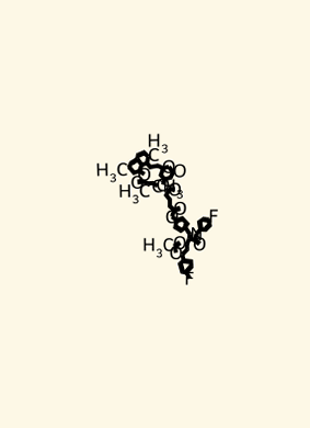 CCC(C)C(=O)OC1CC(C)C=C2C=CC(C)C(CCC3CC(OC(=O)CCCC(=O)Oc4ccc(C5C(CCC(OC(C)=O)c6ccc(F)cc6)C(=O)N5c5ccc(F)cc5)cc4)CC(=O)O3)C21